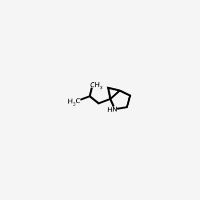 CC(C)CC12CC1CCN2